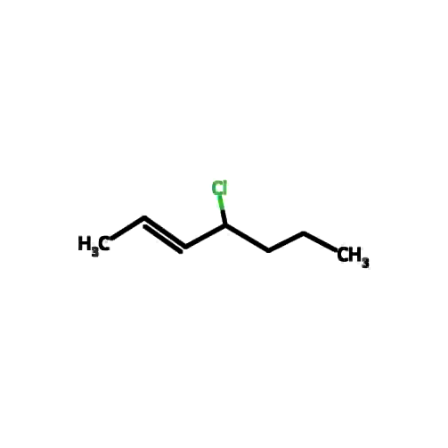 CC=CC(Cl)CCC